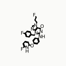 O=c1nc(Nc2ccc(OC3C=CC=C(F)N3)cc2)n(Cc2ccc(F)cc2)c2ncn(CCCF)c12